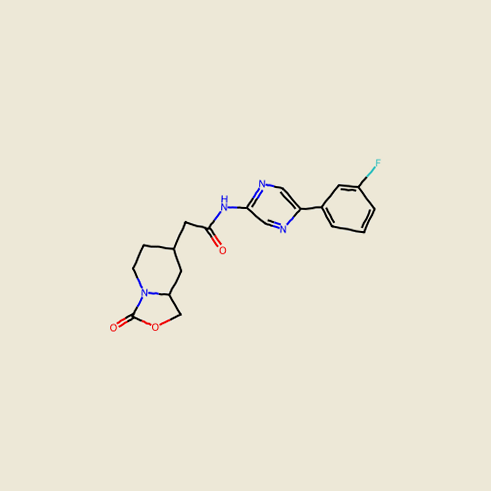 O=C(CC1CCN2C(=O)OCC2C1)Nc1cnc(-c2cccc(F)c2)cn1